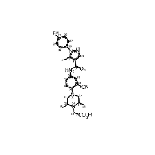 Cc1c(C(=O)Nc2ccc(N3CC(C)N(CC(=O)O)C(C)C3)c(C#N)c2)cnn1-c1ccc(F)cc1